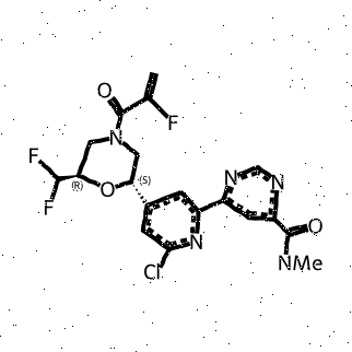 C=C(F)C(=O)N1C[C@H](c2cc(Cl)nc(-c3cc(C(=O)NC)ncn3)c2)O[C@@H](C(F)F)C1